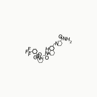 NC(=O)C1CCCN(Cc2ccc3c(c2)CCC[C@H]3NC(=O)C[C@@H]2CCCCN2S(=O)(=O)c2cccc(C(F)(F)F)c2)C1